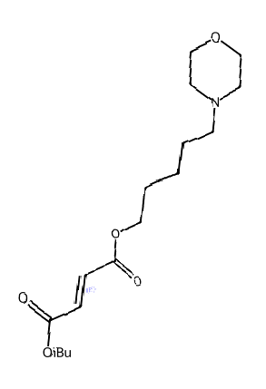 CC(C)COC(=O)/C=C/C(=O)OCCCCCN1CCOCC1